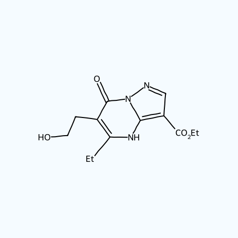 CCOC(=O)c1cnn2c(=O)c(CCO)c(CC)[nH]c12